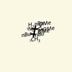 CCCCC(C)(CCCC)C(N)(CCCC)[Si](OC)(OC)OC